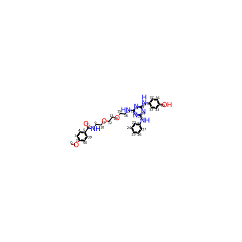 COc1ccc(C(=O)NCCOCCOCCNc2nc(Nc3ccccc3)nc(Nc3ccc(O)cc3)n2)cc1